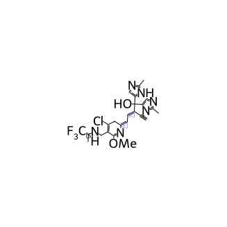 C#C/C(=C\C=C1/CC(Cl)=C(CN[C@@H](C)C(F)(F)F)C(OC)=N1)C(O)(c1cnc(C)[nH]1)c1cnc(C)n1C